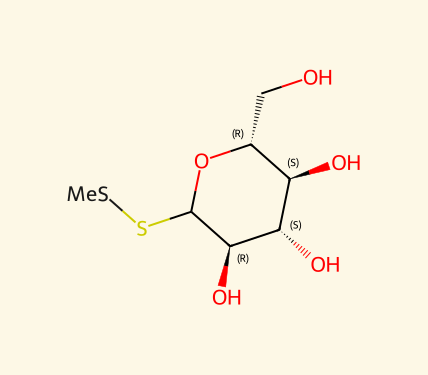 CSSC1O[C@H](CO)[C@@H](O)[C@H](O)[C@H]1O